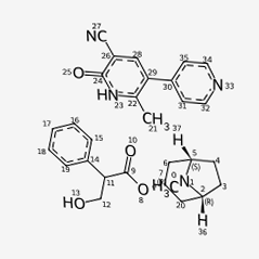 CN1[C@@H]2CC[C@H]1C[C@@H](OC(=O)C(CO)c1ccccc1)C2.Cc1[nH]c(=O)c(C#N)cc1-c1ccncc1